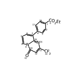 CCOC(=O)c1ccc(-c2cccn3c(=O)cc(C(F)(F)F)nc23)cc1